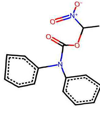 CC(OC(=O)N(c1ccccc1)c1ccccc1)[N+](=O)[O-]